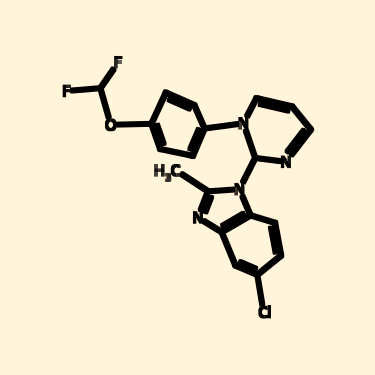 Cc1nc2cc(Cl)ccc2n1C1N=CC=CN1c1ccc(OC(F)F)cc1